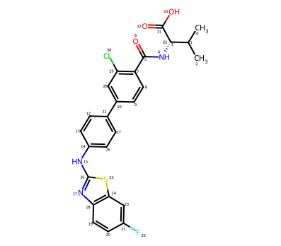 CC(C)[C@H](NC(=O)c1ccc(-c2ccc(Nc3nc4ccc(F)cc4s3)cc2)cc1Cl)C(=O)O